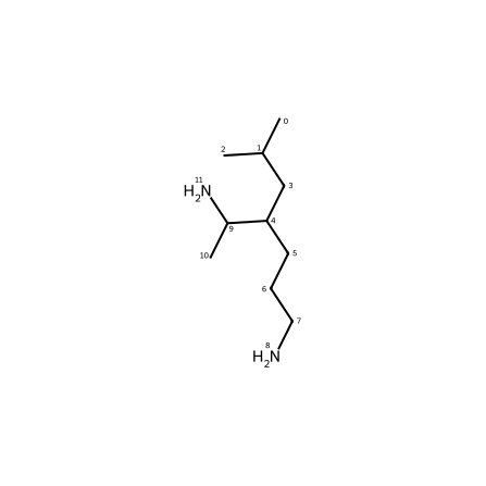 CC(C)CC(CCCN)C(C)N